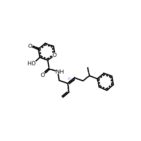 C=C/C(=C\CC(C)c1ccccc1)CNC(=O)c1occc(=O)c1O